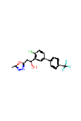 Cc1nnc(CC(O)c2cc(-c3ccc(C(F)(F)F)cc3)ccc2Cl)o1